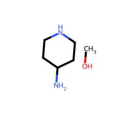 CO.NC1CCNCC1